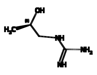 C[C@@H](O)CNC(=N)N